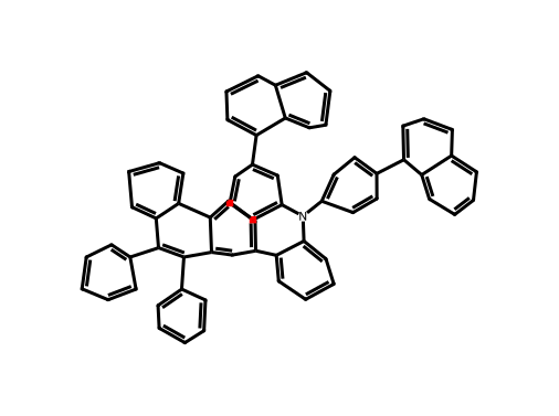 c1ccc(-c2c(-c3ccccc3)c3cc(-c4ccccc4N(c4ccc(-c5cccc6ccccc56)cc4)c4cccc(-c5cccc6ccccc56)c4)ccc3c3ccccc23)cc1